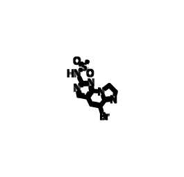 CS(=O)(=O)Nc1ncc2c(n1)N1CCN=C1C(Br)=C2